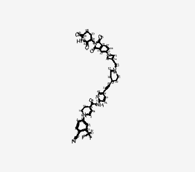 N#Cc1ccc(N2CCC(C(=O)Nc3ccc(C#CC4CCN(CC5CN(c6ccc7c(c6)C(=O)N(C6CCC(=O)NC6=O)C7=O)C5)CC4)cn3)CC2)cc1C(F)(F)F